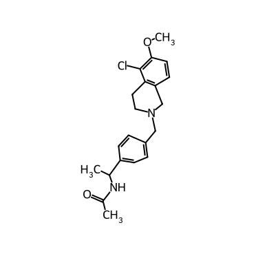 COc1ccc2c(c1Cl)CCN(Cc1ccc(C(C)NC(C)=O)cc1)C2